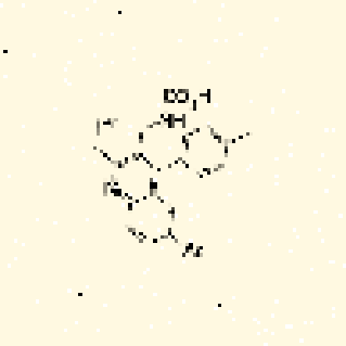 CC(=O)c1ccc2nc(CC(C)C)c(CNC(=O)O)c(-c3ccc(C)cc3)c2c1